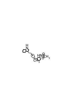 CC1(c2cccc(NS(C)(=O)=O)c2)C2CN(CCc3c[nH]c4ccccc34)CC21